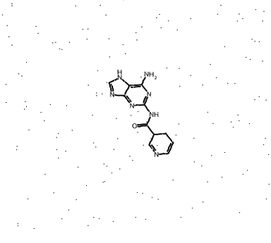 Nc1nc(NC(=O)C2C=NC=CC2)nc2nc[nH]c12